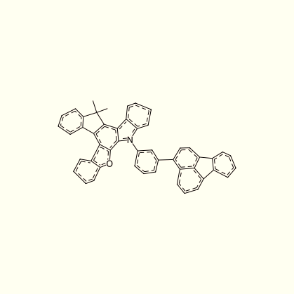 CC1(C)c2ccccc2-c2c1c1c3ccccc3n(-c3cccc(-c4ccc5c6c(cccc46)-c4ccccc4-5)c3)c1c1oc3ccccc3c21